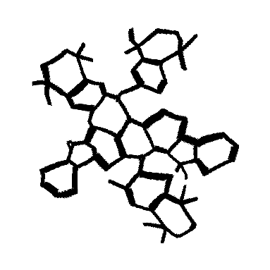 Cc1cc2c(cc1N1c3cc4c(oc5ccccc54)c4c3B(c3ccc5c(c31)C(C)(C)c1ccccc1-5)N(c1ccc3c(c1)C(C)(C)CCC3(C)C)c1cc3c(cc1-4)C(C)(C)CCC3(C)C)C(C)(C)CCC2(C)C